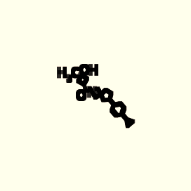 C[C@]1(O)C[C@@H](C(=O)N2CC3(CCC(c4ccc(C5CC5)cc4)C3)C2)C1